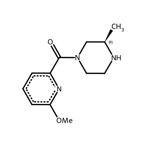 COc1cccc(C(=O)N2CCN[C@H](C)C2)n1